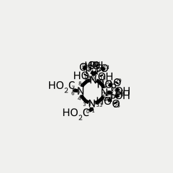 O=C(O)CN1CCN(CC(=O)O)CCN(C(P(=O)(O)O)P(=O)(O)O)CCN(C(P(=O)(O)O)P(=O)(O)O)CC1